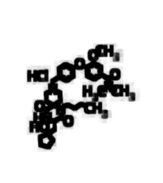 CCCCN1C(=O)[C@@H](CC2(O)CCCC2)NC(=O)C12CCN(Cc1ccc(Oc3ccc(C(=O)N(C)C)cc3OC)cc1)CC2.Cl